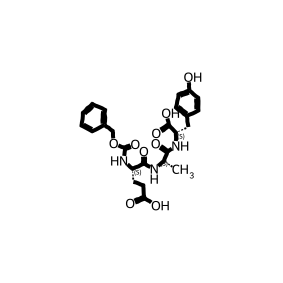 C[C@H](NC(=O)[C@H](CCC(=O)O)NC(=O)OCc1ccccc1)C(=O)N[C@@H](Cc1ccc(O)cc1)C(=O)O